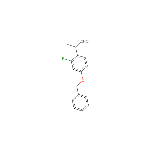 CC(C=O)c1ccc(OCc2ccccc2)cc1F